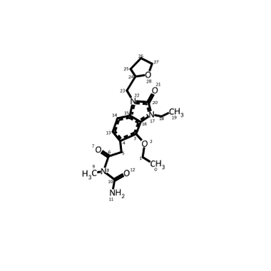 CCOc1c(CC(=O)N(C)C(N)=O)ccc2c1n(CC)c(=O)n2CC1CCCO1